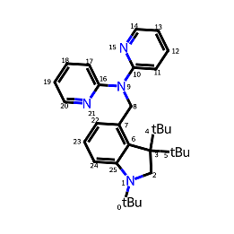 CC(C)(C)N1CC(C(C)(C)C)(C(C)(C)C)c2c(CN(c3ccccn3)c3ccccn3)cccc21